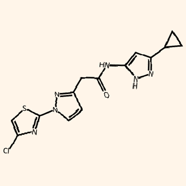 O=C(Cc1ccn(-c2nc(Cl)cs2)n1)Nc1cc(C2CC2)n[nH]1